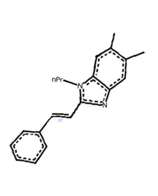 CCCn1c(/C=C/c2ccccc2)nc2cc(C)c(C)cc21